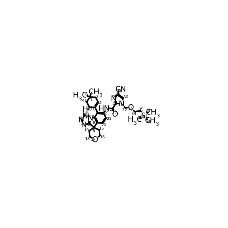 CC1(C)CC=C(c2cc(C3(c4nn[nH]n4)CCOCC3)ccc2NC(=O)c2nc(C#N)cn2COCC[Si](C)(C)C)CC1